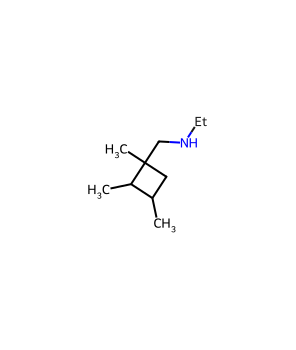 CCNCC1(C)CC(C)C1C